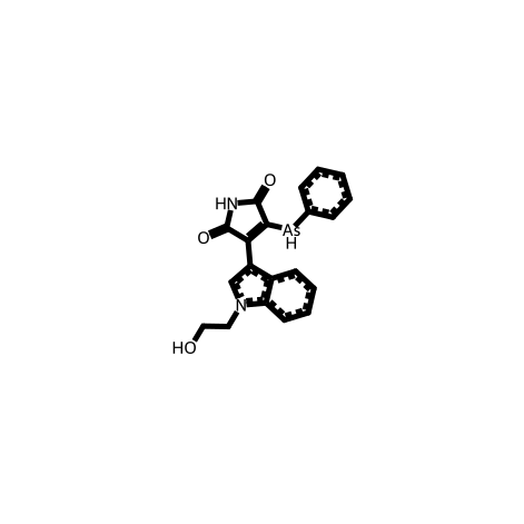 O=C1NC(=O)C(c2cn(CCO)c3ccccc23)=C1[AsH]c1ccccc1